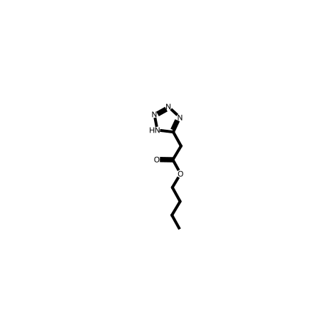 CCCCOC(=O)Cc1nnn[nH]1